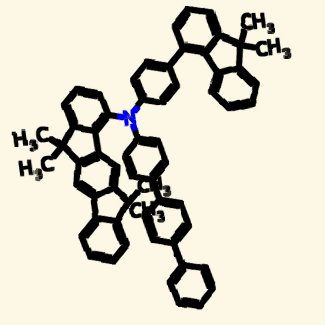 CC1(C)c2ccccc2-c2cc3c(cc21)-c1c(N(c2ccc(-c4ccc(-c5ccccc5)cc4)cc2)c2ccc(-c4cccc5c4-c4ccccc4C5(C)C)cc2)cccc1C3(C)C